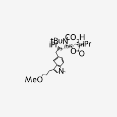 COCCCc1cn(C)c2ccc(C[C@H](C[C@@H]([C@@H]3C[C@@H](C(C)C)C(=O)O3)N(C(=O)O)C(C)(C)C)C(C)C)cc12